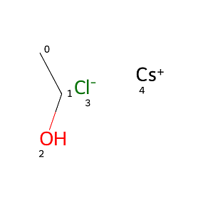 CCO.[Cl-].[Cs+]